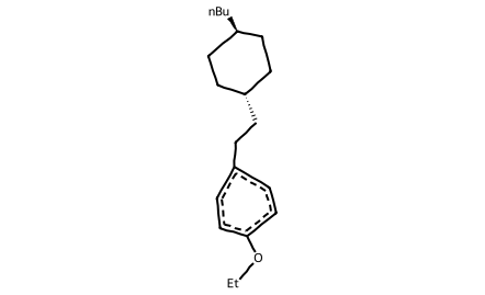 CCCC[C@H]1CC[C@H](CCc2ccc(OCC)cc2)CC1